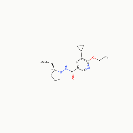 COC[C@@H]1CCCN1NC(=O)c1cnc(OCC(F)(F)F)c(C2CC2)c1